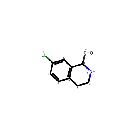 O=CC1NCCc2ccc(Cl)cc21